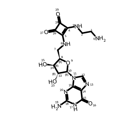 NCCNc1c(NC[C@H]2O[C@@H](n3cnc4c(=O)[nH]c(N)nc43)[C@H](O)[C@H]2O)c(=O)c1=O